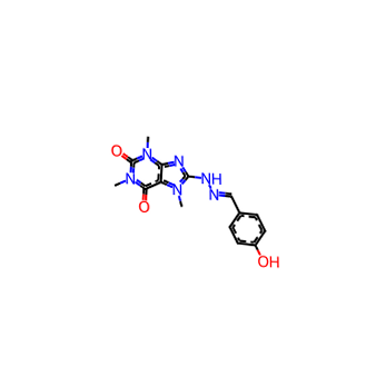 Cn1c(=O)c2c(nc(N/N=C/c3ccc(O)cc3)n2C)n(C)c1=O